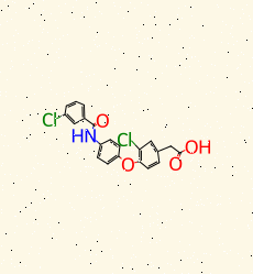 O=C(O)Cc1ccc(Oc2ccc(NC(=O)c3cccc(Cl)c3)cc2)c(Cl)c1